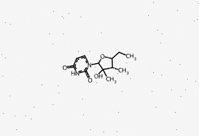 CCC1OC(n2ccc(=O)[nH]c2=O)C(C)(O)C1C